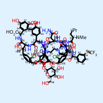 CN[C@@H](CC(C)C)C(=O)N[C@H]1C(=O)N[C@@H](CC(N)=O)C(=O)NC2C(=O)N[C@@H]3C(=O)N[C@@H](C(=O)N[C@@H](C(=O)O)c4cc(O)cc(O)c4-c4cc3ccc4O)[C@H](O)c3ccc(c(Cl)c3)Oc3cc2cc(c3OC2O[C@@H](CO)[C@@H](O)[C@@H](O)[C@H]2O[C@H]2CC(C)(NCCn3ccc(NC(=O)c4cccc(SC(F)(F)F)c4)nc3=O)[C@@H](O)C(C)O2)Oc2ccc(cc2Cl)[C@H]1O